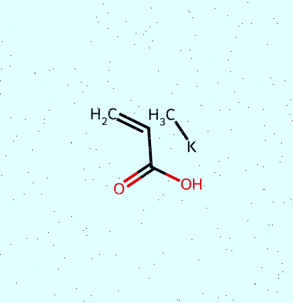 C=CC(=O)O.[CH3][K]